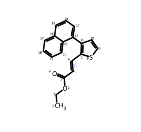 CCOC(=O)/C=C/c1sccc1-c1cccc2ccccc12